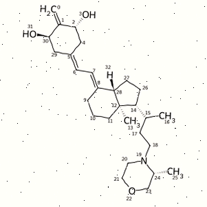 C=C1[C@H](O)CC(=C/C=C2\CCC[C@]3(C)[C@@H](C(C)CCN4CCOC[C@H]4C)CC[C@@H]23)C[C@H]1O